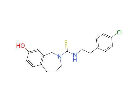 Oc1ccc2c(c1)CN(C(=S)NCCc1ccc(Cl)cc1)CCC2